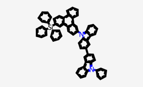 c1ccc(-n2c3ccccc3c3cc(-c4ccc5c(c4)c4ccccc4n5-c4ccc5c(c4)c4ccccc4c4ccc([Si](c6ccccc6)(c6ccccc6)c6ccccc6)cc45)ccc32)cc1